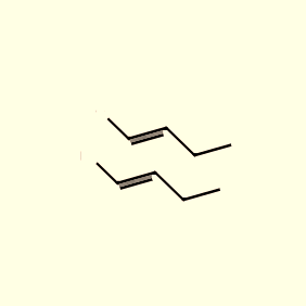 CCC=CO.CCC=CO